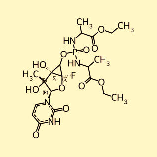 CCOC(=O)C(C)NP(=O)(NC(C)C(=O)OCC)OC1[C@]2(O)[C@@](C)(O)[C@H](n3ccc(=O)[nH]c3=O)O[C@]12F